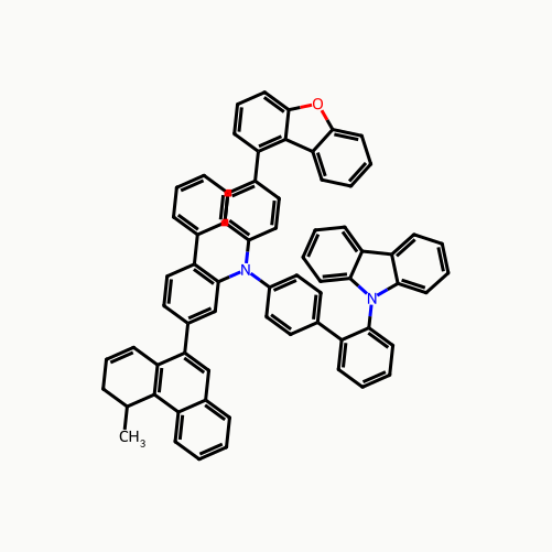 CC1CC=Cc2c(-c3ccc(-c4ccccc4)c(N(c4ccc(-c5ccccc5-n5c6ccccc6c6ccccc65)cc4)c4ccc(-c5cccc6oc7ccccc7c56)cc4)c3)cc3ccccc3c21